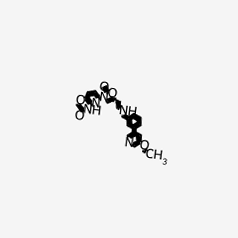 CCOc1cncc(-c2cccc(CNCC[C@H]3CN(c4ccc5c(n4)NC(=O)CO5)C(=O)O3)c2)c1